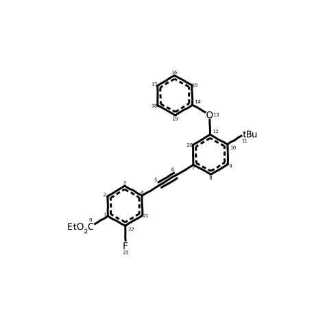 CCOC(=O)c1ccc(C#Cc2ccc(C(C)(C)C)c(Oc3ccccc3)c2)cc1F